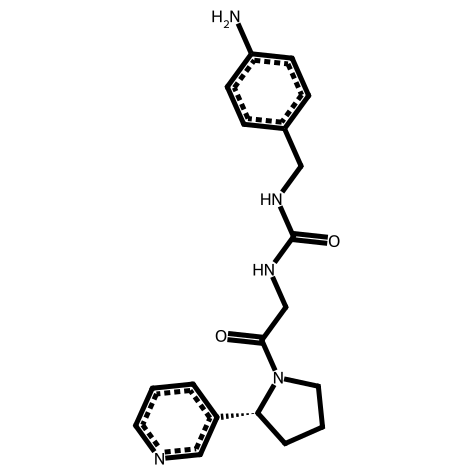 Nc1ccc(CNC(=O)NCC(=O)N2CCC[C@@H]2c2cccnc2)cc1